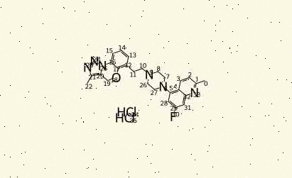 Cc1ccc2c(N3CCN(CCc4cccc5c4OCc4c(C)nnn4-5)CC3)cc(F)cc2n1.Cl.Cl